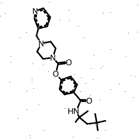 CC(C)(C)CC(C)(C)NC(=O)c1ccc(OC(=O)N2CCN(Cc3cccnc3)CC2)cc1